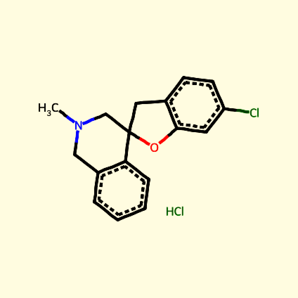 CN1Cc2ccccc2C2(Cc3ccc(Cl)cc3O2)C1.Cl